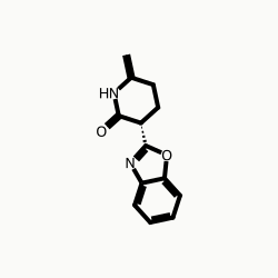 C=C1CC[C@H](c2nc3ccccc3o2)C(=O)N1